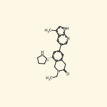 CCN1Cc2c(cc(-c3cnc4[nH]cc(C)c4c3)cc2[C@@H]2CCCN2)CC1=O